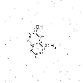 Cc1cccc2ccc(O)cc12